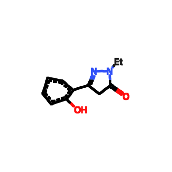 CCN1N=C(c2ccccc2O)CC1=O